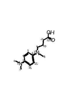 CN(C)c1ccc(N(C)CCCC(=O)O)cc1